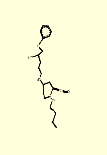 CCCCNN1CCC(NCCCC(O)COc2ccccc2)CC1=C=O